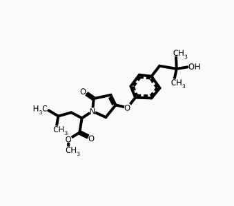 COC(=O)C(CC(C)C)N1CC(Oc2ccc(CC(C)(C)O)cc2)=CC1=O